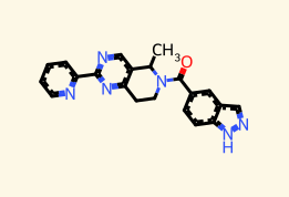 CC1c2cnc(-c3ccccn3)nc2CCN1C(=O)c1ccc2[nH]ncc2c1